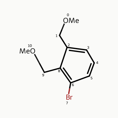 COCc1cccc(Br)c1COC